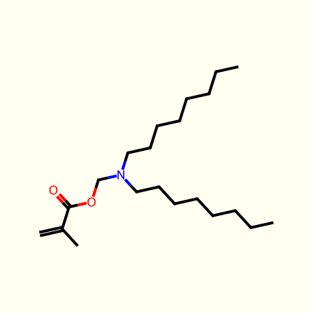 C=C(C)C(=O)OCN(CCCCCCCC)CCCCCCCC